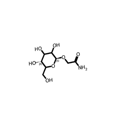 NC(=O)CO[C@H]1OC(CO)[C@H](O)C(O)C1O